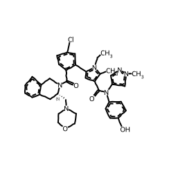 CCn1c(-c2cc(Cl)ccc2C(=O)N2Cc3ccccc3C[C@H]2CN2CCOCC2)cc(C(=O)N(c2ccc(O)cc2)c2cnn(C)c2)c1C